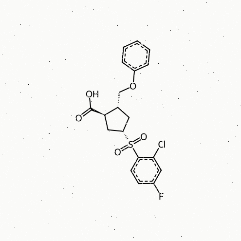 O=C(O)[C@@H]1C[C@@H](S(=O)(=O)c2ccc(F)cc2Cl)C[C@H]1COc1ccccc1